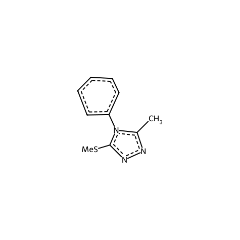 CSc1nnc(C)n1-c1ccccc1